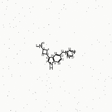 CN(C)C1CC(c2c[nH]c3ccc(Cn4cncn4)cc23)C1